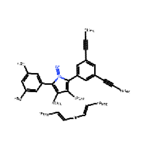 CCCCCC=[CH][Ni][CH]=CCCCCC.CCCCCCC#Cc1cc(C#CCCCCCC)cc(C2=C(CCCCC)C(CCCCCCCC)=C(c3cc(CCCC)cc(CCCC)c3)[N+]2=[N-])c1